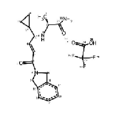 C[C@H](N[C@H](/C=C/C(=O)N1Cc2ccccc2C1)C1CC1)C(N)=O.O=C(O)C(F)(F)F